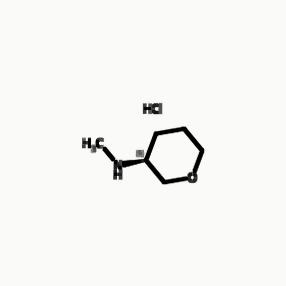 CN[C@H]1CCCOC1.Cl